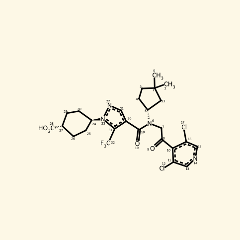 CC1(C)CC[C@@H](N(CC(=O)c2c(Cl)cncc2Cl)C(=O)c2cnn([C@H]3CC[C@H](C(=O)O)CC3)c2C(F)(F)F)C1